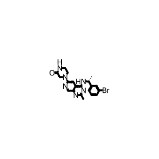 Cc1nc(N[C@H](C)c2cccc(Br)c2)c2cc(N3CCNC(=O)C3)ncc2n1